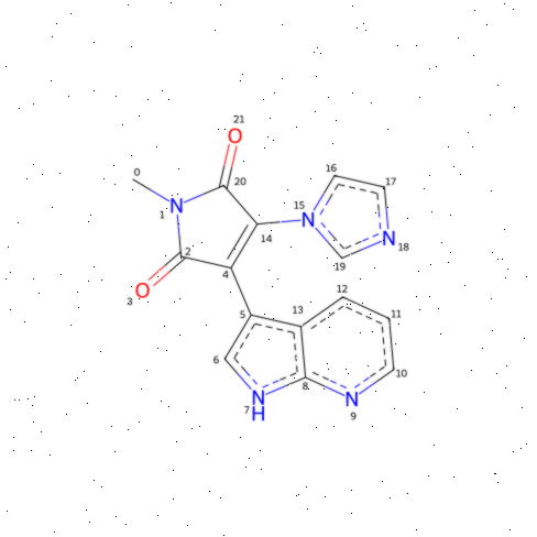 CN1C(=O)C(c2c[nH]c3ncccc23)=C(n2ccnc2)C1=O